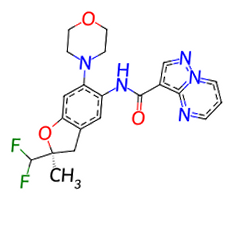 C[C@@]1(C(F)F)Cc2cc(NC(=O)c3cnn4cccnc34)c(N3CCOCC3)cc2O1